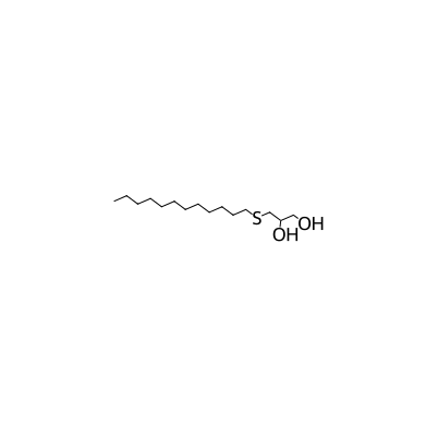 CCCCCCCCCCCCSCC(O)CO